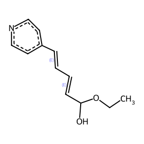 CCOC(O)/C=C/C=C/c1ccncc1